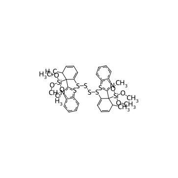 CO[Si](OC)(OC)C1(c2nc3ccccc3s2)C(SSSSC2=CC=CC(C)C2(c2nc3ccccc3s2)[Si](OC)(OC)OC)=CC=CC1C